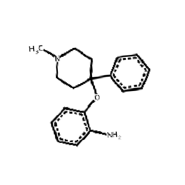 CN1CCC(Oc2ccccc2N)(c2ccccc2)CC1